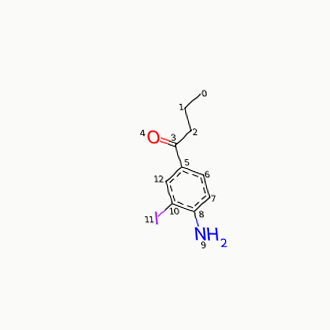 CCCC(=O)c1ccc(N)c(I)c1